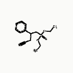 CCOP(=O)(CC(CC#N)c1ccccc1)OCC